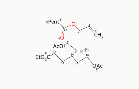 C=CCOC(=O)CCCCC.CC(=O)OCCC(C)C.CCOC(=O)CCCCCOC(C)=O